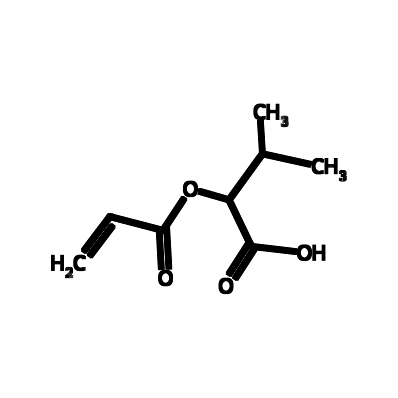 C=CC(=O)OC(C(=O)O)C(C)C